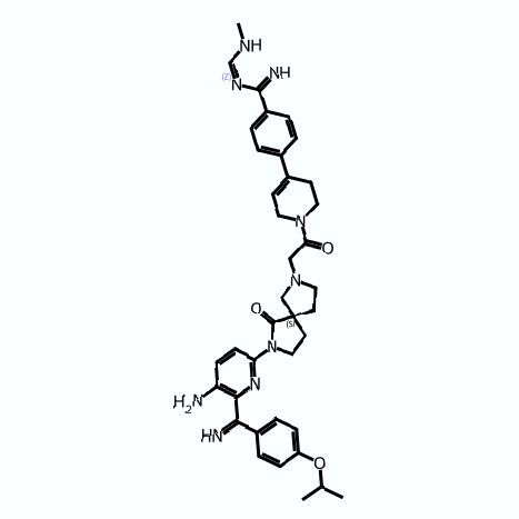 CN/C=N\C(=N)c1ccc(C2=CCN(C(=O)CN3CC[C@]4(CCN(c5ccc(N)c(C(=N)c6ccc(OC(C)C)cc6)n5)C4=O)C3)CC2)cc1